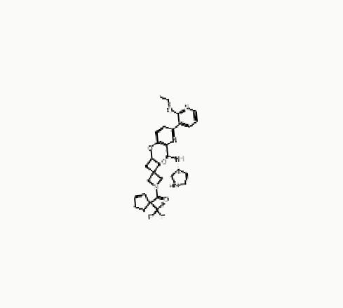 CCOc1ncccc1-c1ccc(OC2CC3(C2)CN(C(=O)C2(C(F)(F)F)CCCC2)C3)c(C(=O)N[C@@H]2CCNC2)n1